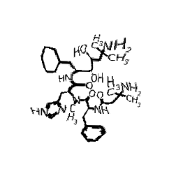 CN(C(=O)[C@H](Cc1ccccc1)NC(=O)CC(C)(C)N)[C@@H](Cc1c[nH]cn1)C(=O)N[C@@H](CC1CCCCC1)[C@@H](O)[C@@H](O)CC(C)(C)N